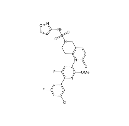 COc1nc(-c2cc(F)cc(Cl)c2)c(F)cc1-n1c2c(ccc1=O)CN(S(=O)(=O)Nc1ccon1)CC2